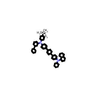 C[Si](C)(C)c1ccc(N(c2ccc(-c3ccc(-c4ccc(N(c5ccccc5)c5cccc6ccccc56)cc4)cc3)cc2)c2cccc(-c3ccccc3)c2)cc1